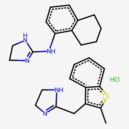 Cc1sc2ccccc2c1CC1=NCCN1.Cl.c1cc2c(c(NC3=NCCN3)c1)CCCC2